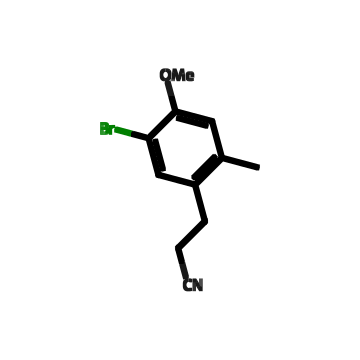 COc1cc(C)c(CCC#N)cc1Br